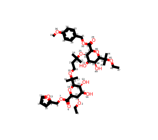 CCO[C@@H]1C(C(=O)OCc2ccco2)OC(C(C)(C)OCCC(C)(C)O[C@@H]2C(C(=O)OCc3ccc(OC)cc3)OC(C(C)(C)OCC)[C@@H](O)C2O)[C@@H](O)C1O